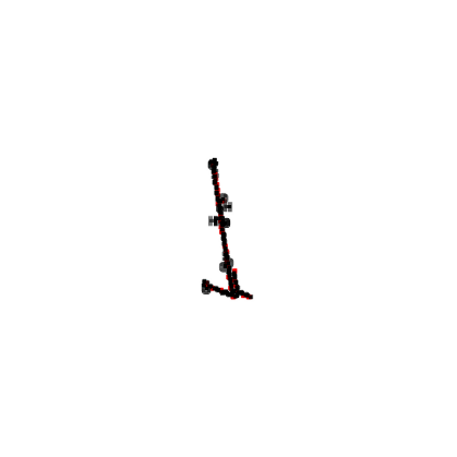 CCCCCCCC1C(CCCCC)CCC(CCCCCCCCC(=O)C(C)(C)C)C1CCCCCCCCC(=O)OCCSCCCCCCCCCCC(=O)NCCCCNCC(C=O)CCCCCCCCCSCCOC(C)(C)C